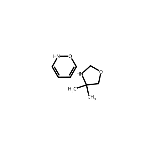 C1=CNOC=C1.CC1(C)COCN1